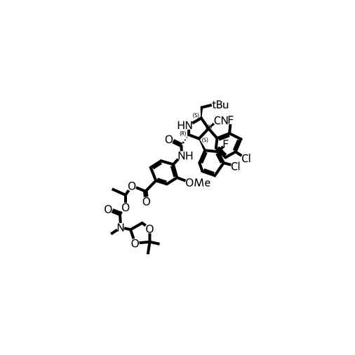 COc1cc(C(=O)OC(C)OC(=O)N(C)C2COC(C)(C)O2)ccc1NC(=O)[C@@H]1N[C@@H](CC(C)(C)C)[C@](C#N)(c2ccc(Cl)cc2F)[C@H]1c1cccc(Cl)c1F